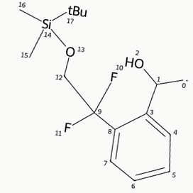 [CH2]C(O)c1ccccc1C(F)(F)CO[Si](C)(C)C(C)(C)C